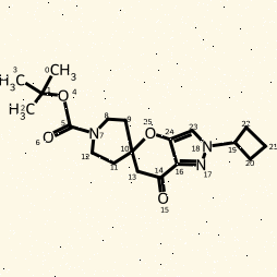 CC(C)(C)OC(=O)N1CCC2(CC1)CC(=O)c1nn(C3CCC3)cc1O2